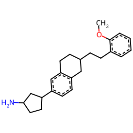 COc1ccccc1CCC1CCc2cc(C3CCC(N)C3)ccc2C1